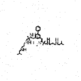 CC(C)CNCCCNCC(C)(C)C(N)Cc1cc(CC(N)C(C)(C)CNCCCNCC(C)C)cc(-c2ccccc2)c1